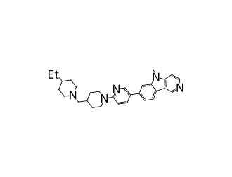 CCC1CCN(CC2CCN(c3ccc(-c4ccc5c6cnccc6n(C)c5c4)cn3)CC2)CC1